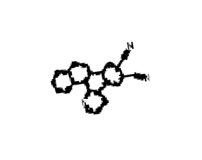 N#Cc1cc2c(cc1C#N)c1ccc3ccccc3c1c1ncccc21